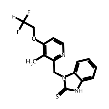 Cc1c(OCC(F)(F)F)ccnc1Cn1c(=S)[nH]c2ccccc21